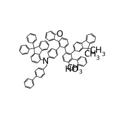 Cc1ccc(-c2ccc3oc4ccccc4c3c2-c2ccc(N(Cc3ccc(-c4ccccc4)cc3)c3cccc4c3-c3ccccc3C4(c3ccccc3)c3ccccc3)cc2)c(-c2ccc3c(c2)C(C)(C)c2ccccc2-3)c1-c1ccccc1O